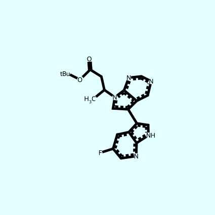 CC(CC(=O)OC(C)(C)C)n1cc(-c2c[nH]c3ncc(F)cc23)c2cncnc21